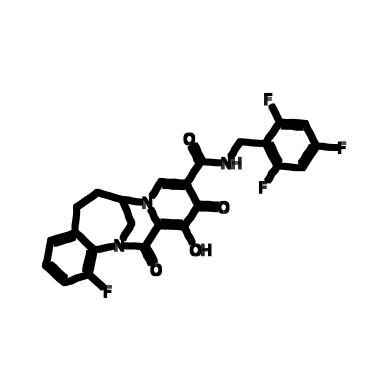 O=C(NCc1c(F)cc(F)cc1F)c1cn2c(c(O)c1=O)C(=O)N1CC2CCc2cccc(F)c21